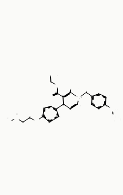 CCOC(=O)C1=C(C)N(Cc2ccc(OC)cc2)C=CC1c1ccc(OCCOC)cc1